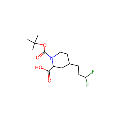 CC(C)(C)OC(=O)N1CCC(CCC(F)F)CC1C(=O)O